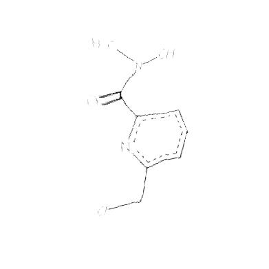 CN(C)C(=O)c1cccc(CCl)n1